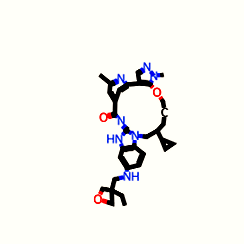 CCC1(CNc2ccc3c(c2)N/C2=N\C(=O)c4cc(C)nc(c4)-c4cnn(C)c4OCCCC(C4CC4)CN23)COC1